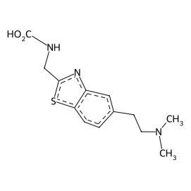 CN(C)CCc1ccc2sc(CNC(=O)O)nc2c1